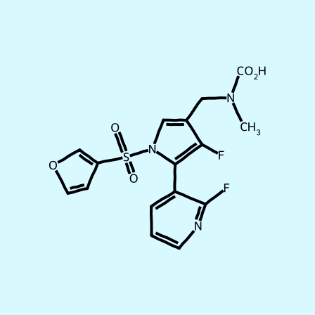 CN(Cc1cn(S(=O)(=O)c2ccoc2)c(-c2cccnc2F)c1F)C(=O)O